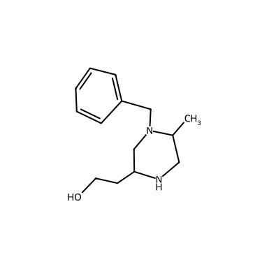 CC1CNC(CCO)CN1Cc1ccccc1